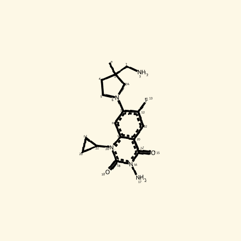 CC1(CN)CCN(c2cc3c(cc2F)c(=O)n(N)c(=O)n3C2CC2)C1